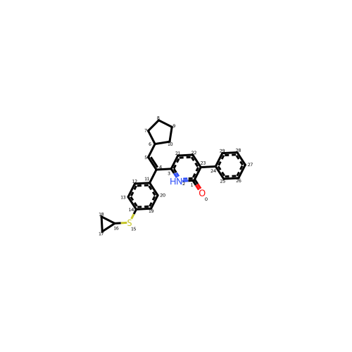 O=c1[nH]c(/C(=C\C2CCCC2)c2ccc(SC3CC3)cc2)ccc1-c1ccccc1